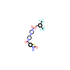 O=C(OCc1cc(C(F)(F)F)cc(C(F)(F)F)c1)N1CCN(C2CCN(C(=O)c3ccc4[nH]c(=O)sc4c3)CC2)CC1